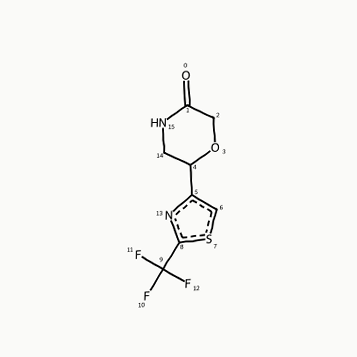 O=C1COC(c2csc(C(F)(F)F)n2)CN1